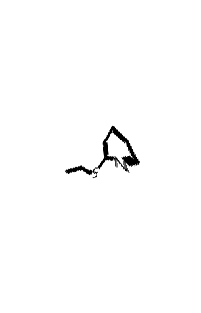 CCSc1ccccn1